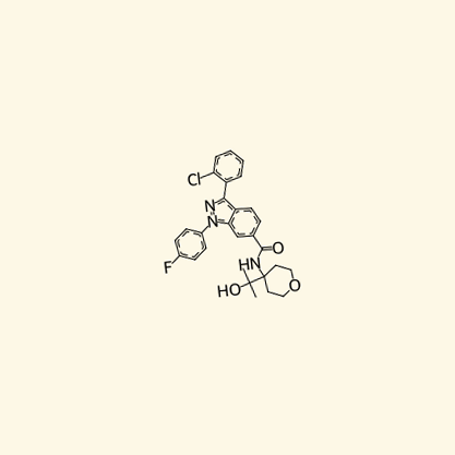 CC(C)(O)C1(NC(=O)c2ccc3c(-c4ccccc4Cl)nn(-c4ccc(F)cc4)c3c2)CCOCC1